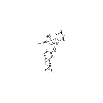 CC#CC(O)(c1cncnc1)C(C)(C)Oc1cccc(OC(F)(F)F)c1